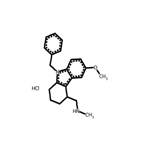 CNCC1CCCc2c1c1cc(OC)ccc1n2Cc1ccccc1.Cl